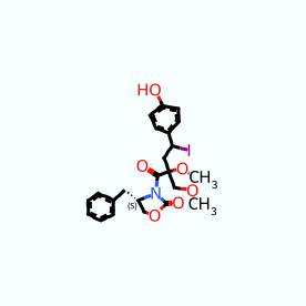 COCC(CC(I)c1ccc(O)cc1)(OC)C(=O)N1C(=O)OC[C@@H]1Cc1ccccc1